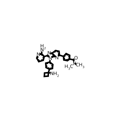 CN(C)C(=O)c1ccc(-c2ccc3nc(-c4cccnc4N)n(-c4ccc(C5(N)CCC5)cc4)c3n2)cc1